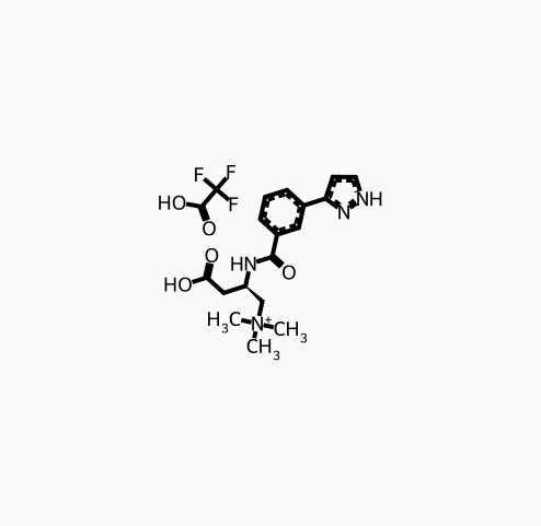 C[N+](C)(C)C[C@@H](CC(=O)O)NC(=O)c1cccc(-c2cc[nH]n2)c1.O=C(O)C(F)(F)F